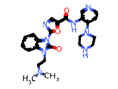 CN(C)CCn1c(=O)n(-c2ncc(C(=O)Nc3cnccc3N3CCNCC3)o2)c2ccccc21